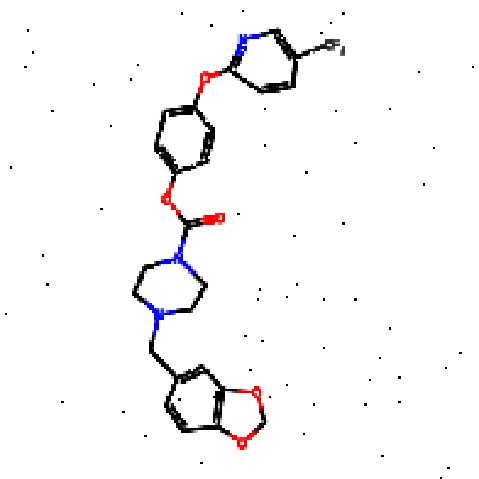 O=C(Oc1ccc(Oc2ccc(C(F)(F)F)cn2)cc1)N1CCN(Cc2ccc3c(c2)OCO3)CC1